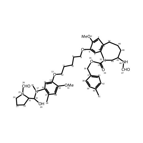 COc1cc2c(cc1OCCCCCOc1cc(N(C)C(O)C3CCCN3C=O)c(C)cc1OC)N(C(=O)OCc1ccc(C)cc1)CC(NC=O)CCC2